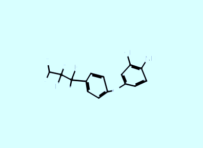 Nc1ccc(Oc2ccc(C(F)(F)C(F)(F)C(F)F)cc2)cc1C(F)(F)F